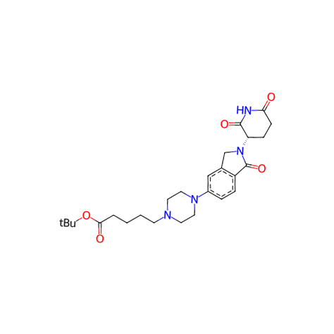 CC(C)(C)OC(=O)CCCCN1CCN(c2ccc3c(c2)CN([C@H]2CCC(=O)NC2=O)C3=O)CC1